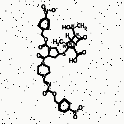 C[C@@H](O)[C@H]1C(=O)N2C(C(=O)O)=C(SC3CC(C(=O)N4CCN(C=NC(=O)OCc5ccc([N+](=O)[O-])cc5)CC4)N(C(=O)OCc4ccc([N+](=O)[O-])cc4)C3)[C@H](C)[C@H]12